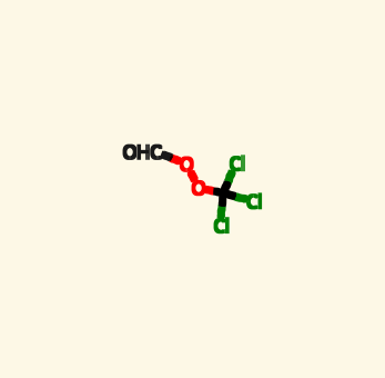 O=COOC(Cl)(Cl)Cl